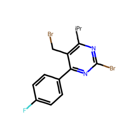 CC(C)c1nc(Br)nc(-c2ccc(F)cc2)c1CBr